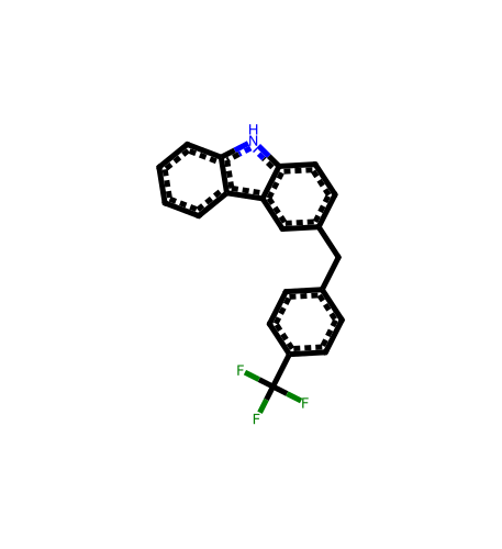 FC(F)(F)c1ccc(Cc2ccc3[nH]c4ccccc4c3c2)cc1